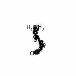 CC1(C)OCc2cc([C@@H]3CN(CCc4ccc5c(c4)O[C@H](COCc4ccc(Cl)cc4)CO5)C(=O)O3)ccc2O1